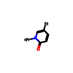 CCCn1cc(CC)ccc1=O